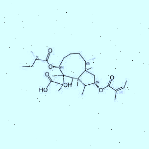 C/C=C(/C)C(=O)O[C@@H]1CC2(C)[C@@H](C)CCC[C@H](OC(=O)[C@@H](C)CC)C(C)(C(C)(O)C(=O)O)C(C)C2(C)C1C